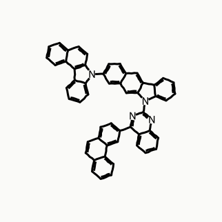 c1ccc2c(c1)ccc1ccc(-c3nc(-n4c5ccccc5c5cc6ccc(-n7c8ccccc8c8c9ccccc9ccc87)cc6cc54)nc4ccccc34)cc12